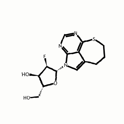 OC[C@H]1O[C@@H](n2cc3c4c(ncnc42)SCCC3)[C@H](F)[C@@H]1O